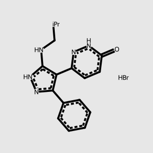 Br.CC(C)CNc1[nH]nc(-c2ccccc2)c1-c1ccc(=O)[nH]n1